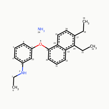 CCNc1cccc(Oc2cccc3c(CC)c(CC)ccc23)c1.N